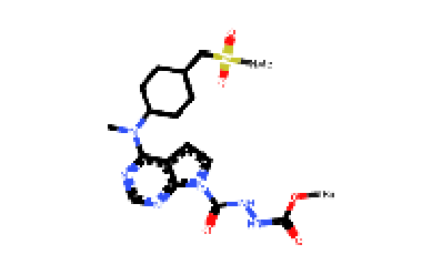 CNS(=O)(=O)CC1CCC(N(C)c2ncnc3c2ccn3C(=O)NNC(=O)OC(C)(C)C)CC1